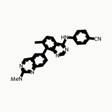 CNc1ncc2cc(-c3c(C)ccc4c(Nc5ccc(C#N)cc5)ncnc34)ccc2n1